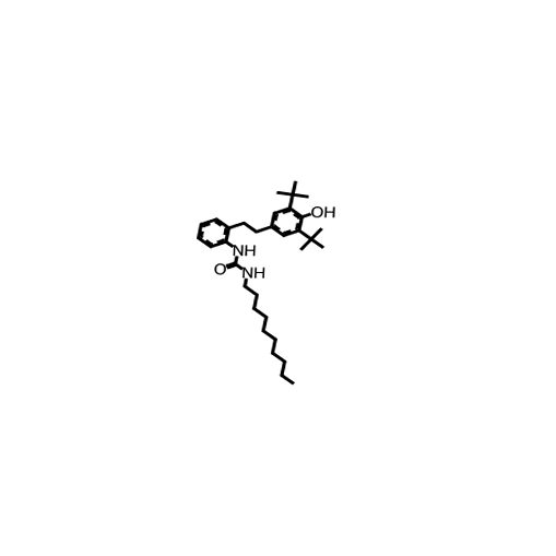 CCCCCCCCCCNC(=O)Nc1ccccc1CCc1cc(C(C)(C)C)c(O)c(C(C)(C)C)c1